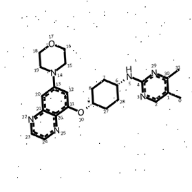 Cc1cnc(N[C@H]2CC[C@@H](Oc3cc(N4CCOCC4)cc4nccnc34)CC2)nc1C